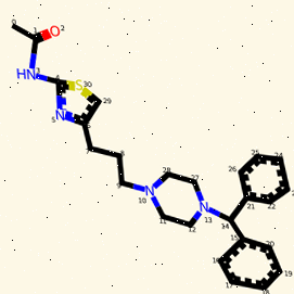 CC(=O)Nc1nc(CCCN2CCN(C(c3ccccc3)c3ccccc3)CC2)cs1